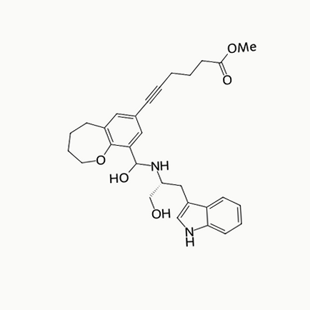 COC(=O)CCCC#Cc1cc2c(c(C(O)N[C@@H](CO)Cc3c[nH]c4ccccc34)c1)OCCCC2